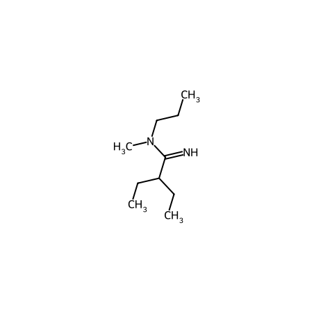 CCCN(C)C(=N)C(CC)CC